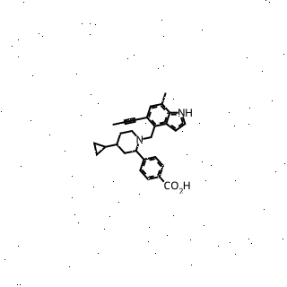 CC#Cc1cc(C)c2[nH]ccc2c1CN1CCC(C2CC2)CC1c1ccc(C(=O)O)cc1